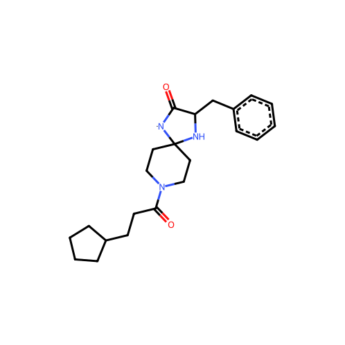 O=C1[N]C2(CCN(C(=O)CCC3CCCC3)CC2)NC1Cc1ccccc1